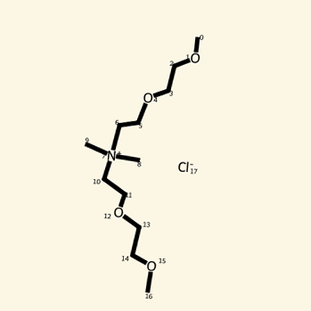 COCCOCC[N+](C)(C)CCOCCOC.[Cl-]